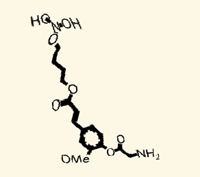 COc1cc(/C=C/C(=O)OCCCCON(O)O)ccc1OC(=O)CN